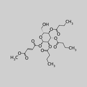 CCCC(=O)O[C@@H]1[C@@H](OC(=O)CCC)[C@@H](OC(=O)/C=C/C(=O)OC)O[C@H](CO)[C@H]1OC(=O)CCC